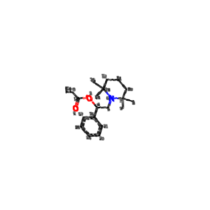 CCC(=O)OC(CN1C(C)(C)CCCC1(C)C)c1ccccc1